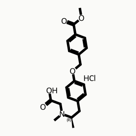 COC(=O)c1ccc(COc2ccc(C[C@@H](C)N(C)CC(=O)O)cc2)cc1.Cl